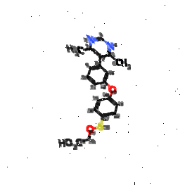 Cc1ncnc(C)c1-c1cccc(Oc2ccc(SOCC(=O)O)cc2)c1